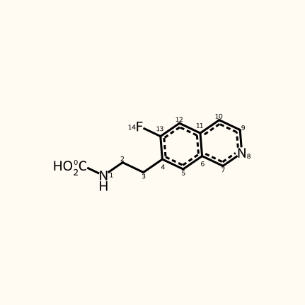 O=C(O)NCCc1cc2cnccc2cc1F